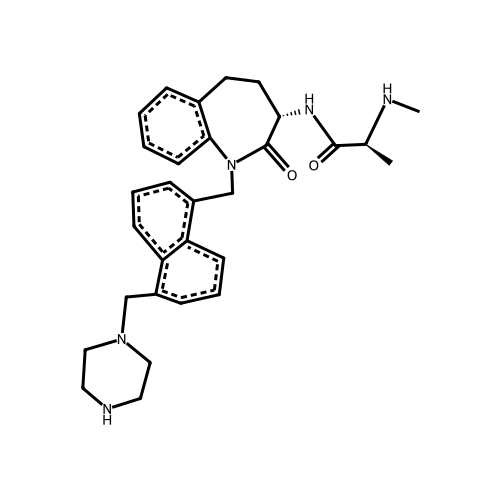 CN[C@@H](C)C(=O)N[C@H]1CCc2ccccc2N(Cc2cccc3c(CN4CCNCC4)cccc23)C1=O